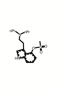 CCCN(CCC)CCc1c[nH]c2cccc(OS(C)(=O)=O)c12